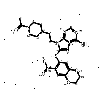 CC(=O)N1CCC(CCn2c(Sc3cc4c(cc3[N+](=O)[O-])OCCO4)nc3c(N)ncnc32)CC1